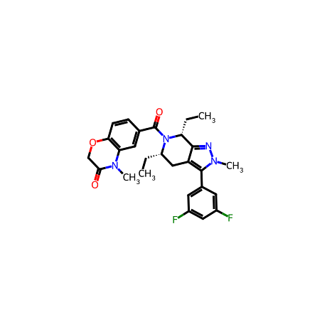 CC[C@H]1Cc2c(nn(C)c2-c2cc(F)cc(F)c2)[C@@H](CC)N1C(=O)c1ccc2c(c1)N(C)C(=O)CO2